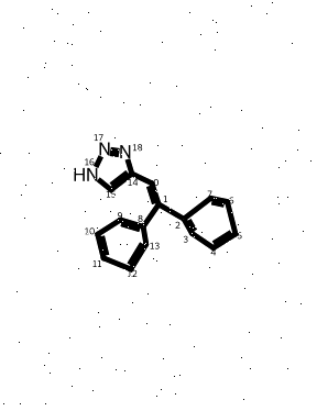 C(=C(c1ccccc1)c1ccccc1)c1c[nH]nn1